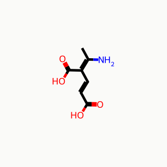 CC(N)=C(C=CC(=O)O)C(=O)O